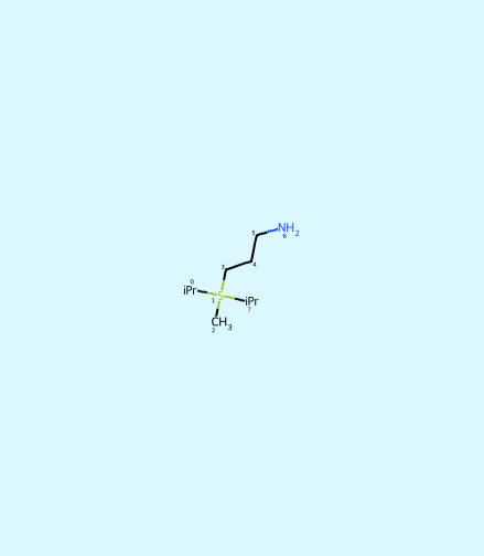 CC(C)S(C)(CCCN)C(C)C